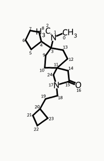 CN(C)C1(C2CCCC2)CCC2(CC1)CC(=O)N(CCC1CCC1)C2